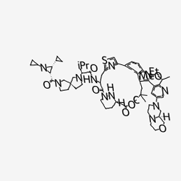 CCn1c(-c2cc(N3CCN4CCOC[C@@H]4C3)cnc2[C@H](C)OC)c2c3cc(ccc31)-c1csc(n1)C[C@H](NC(=O)[C@H](C(C)C)N1CC[C@]3(CCN(C(=O)[C@H]4[C@@H](C5CC5)N4C4CC4)C3)C1)C(=O)N1CCC[C@H](N1)C(=O)OCC(C)(C)C2